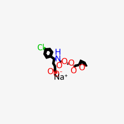 O=C([O-])CCC(NC(=O)OCOC(=O)c1ccco1)c1ccc(Cl)cc1.[Na+]